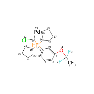 FC(F)(F)C(F)(F)Oc1cccc([PH]([CH](Cl)[Pd])(C2CCCC2)C2CCCC2)c1